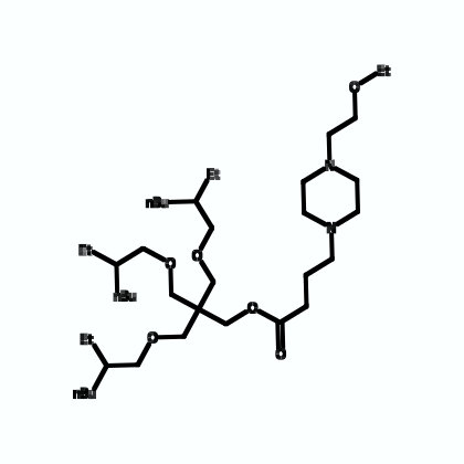 CCCCC(CC)COCC(COCC(CC)CCCC)(COCC(CC)CCCC)COC(=O)CCCN1CCN(CCOCC)CC1